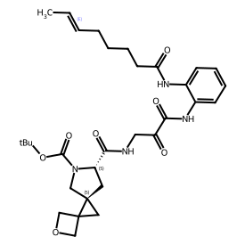 C/C=C/CCCCC(=O)Nc1ccccc1NC(=O)C(=O)CNC(=O)[C@@H]1C[C@@]2(CN1C(=O)OC(C)(C)C)CC21COC1